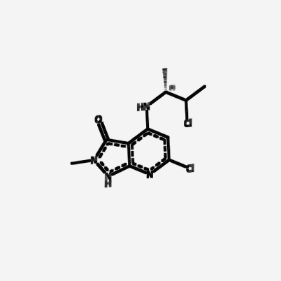 CC(Cl)[C@@H](C)Nc1cc(Cl)nc2[nH]n(C)c(=O)c12